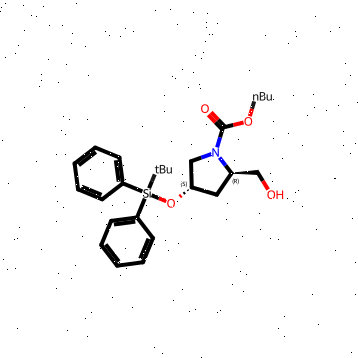 CCCCOC(=O)N1C[C@@H](O[Si](c2ccccc2)(c2ccccc2)C(C)(C)C)C[C@@H]1CO